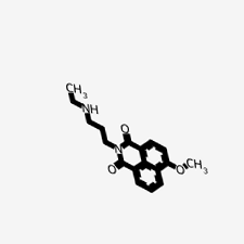 CCNCCCN1C(=O)c2cccc3c(OC)ccc(c23)C1=O